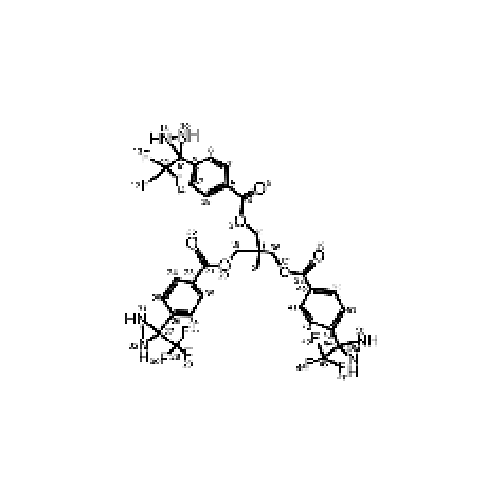 CC(COC(=O)c1ccc(C2(C(F)(F)F)NN2)cc1)(COC(=O)c1ccc(C2(C(F)(F)F)NN2)cc1)COC(=O)c1ccc(C2(C(F)(F)F)NN2)cc1